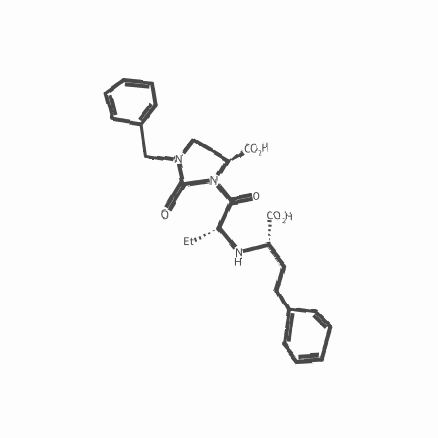 CC[C@@H](N[C@@H](CCc1ccccc1)C(=O)O)C(=O)N1C(=O)N(Cc2ccccc2)C[C@H]1C(=O)O